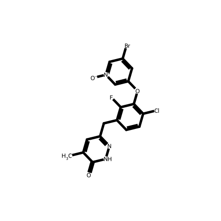 Cc1cc(Cc2ccc(Cl)c(Oc3cc(Br)c[n+]([O-])c3)c2F)n[nH]c1=O